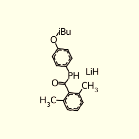 CCC(C)Oc1ccc(PC(=O)c2c(C)cccc2C)cc1.[LiH]